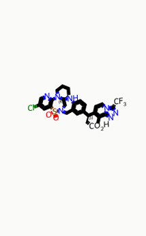 Cc1c([C@@H](CC(=O)O)c2ccc3c(c2)CN2C[C@]4(CCCCN4c4ncc(Cl)cc4S2(=O)=O)N3)ccn2c(C(F)(F)F)nnc12